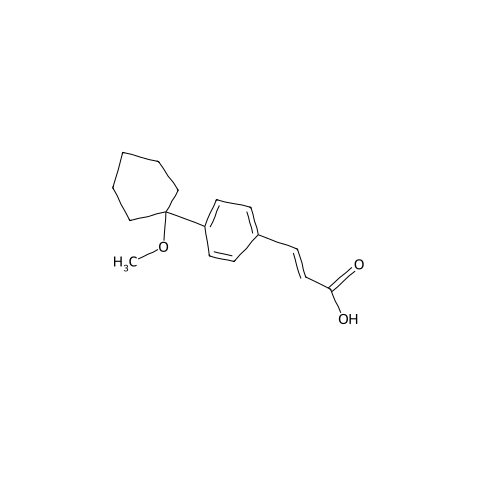 COC1(c2ccc(C=CC(=O)O)cc2)CCCCC1